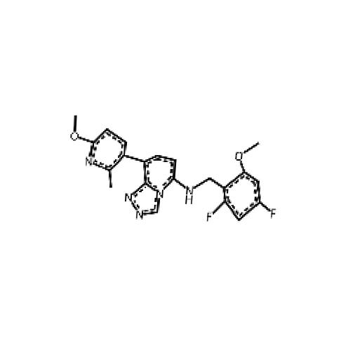 COc1ccc(-c2ccc(NCc3c(F)cc(F)cc3OC)n3cnnc23)c(C)n1